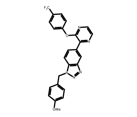 COc1ccc(Cn2nnc3cc(-c4nccnc4Oc4ccc(C(F)(F)F)cc4)ccc32)cc1